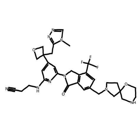 Cn1cnnc1CC1(c2cc(NCCC#N)nc(N3Cc4c(cc(CN5CCC6(CNCCO6)C5)cc4C(F)(F)F)C3=O)c2)COC1